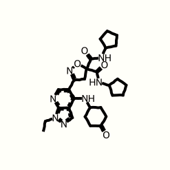 CCn1ncc2c(NC3CCC(=O)CC3)c(C3=NOC(C(=O)NC4CCCC4)(C(=O)NC4CCCC4)C3)cnc21